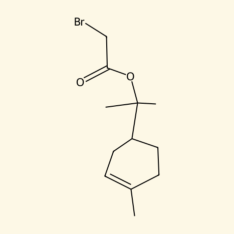 CC1=CCC(C(C)(C)OC(=O)CBr)CC1